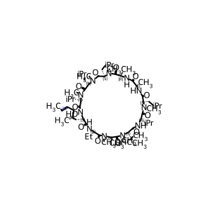 C/C=C/C[C@@H](C)C[C@H]1C(=O)N[C@@H](CC)C(=O)N(C)[C@H](C)C(=O)N(C)[C@@H](C(C)(C)C=O)C(=O)N[C@@H](C(C)C)C(=O)N(C)[C@@H](CC(C)C)C(=O)N[C@@H](C)C(=O)N[C@H](C)C(=O)N(C)[C@@H](CC(C)C)C(=O)N(C)[C@@H](CC(C)C)C(=O)N(C)[C@@H](C(C)C)C(=O)N1O